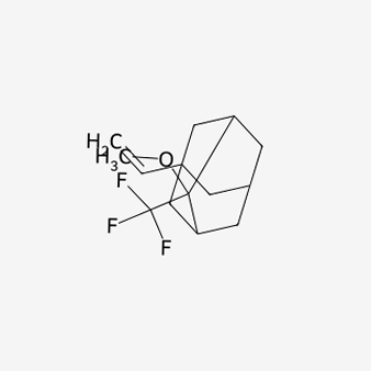 C=CC12CC3CC(C1)C(OC)(C(F)(F)F)C(C3)C2